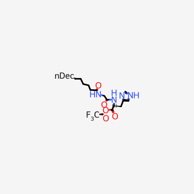 CCCCCCCCCCCCCCCC(=O)NCC(=O)N[C@@H](Cc1c[nH]cn1)C(=O)OC(=O)C(F)(F)F